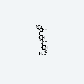 COc1ccc(CNc2ncc(CC3CNc4ncncc43)cn2)cn1